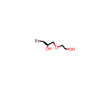 CCC=C(O)COCCO